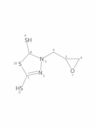 SC1=NN(CC2CO2)C(S)S1